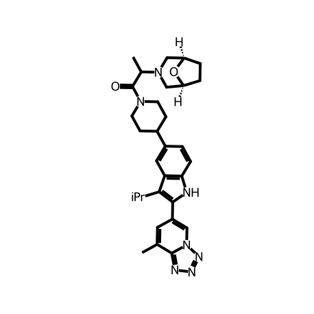 Cc1cc(-c2[nH]c3ccc(C4CCN(C(=O)C(C)N5C[C@H]6CC[C@@H](C5)O6)CC4)cc3c2C(C)C)cn2nnnc12